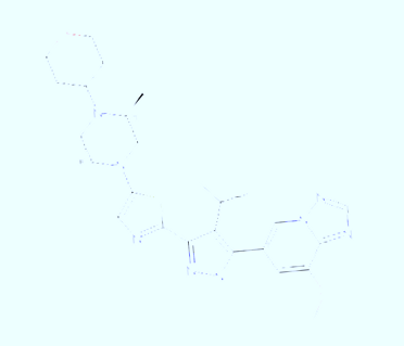 COc1cc(-c2[nH]nc(-c3ncc(N4C[C@H](C)N(C5CCOCC5)C[C@H]4C)s3)c2C(C)C)cn2ncnc12